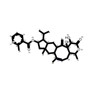 C=C1C2CC3C(C(C)C)C(OC(=O)c4cccnc4C)CC3(C)CC2/C(C)=C\CC2C(C)OC(=O)C(O)C12O